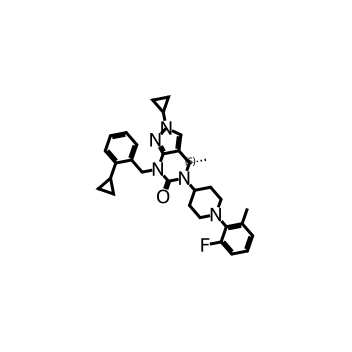 Cc1cccc(F)c1N1CCC(N2C(=O)N(Cc3ccccc3C3CC3)c3nn(C4CC4)cc3[C@@H]2C)CC1